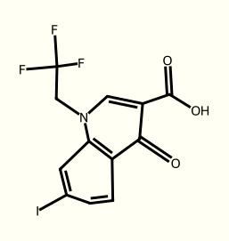 O=C(O)c1cn(CC(F)(F)F)c2cc(I)ccc2c1=O